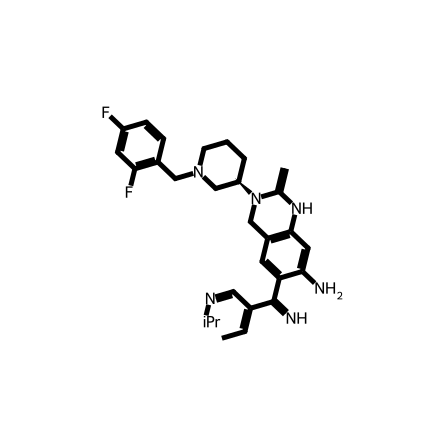 C=C1Nc2cc(N)c(C(=N)C(/C=N\C(C)C)=C/C)cc2CN1[C@@H]1CCCN(Cc2ccc(F)cc2F)C1